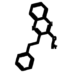 CC(C)Oc1nc2ccccc2nc1CCc1ccccc1